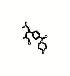 C/C(C=O)=C/C(=C\N(C)C)c1ccc(C(=O)N2CCN(C)CC2)cc1